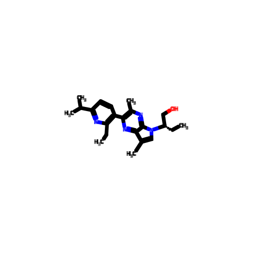 CCc1nc(C(C)C)ccc1-c1nc2c(C)cn([C@@H](CC)CO)c2nc1C